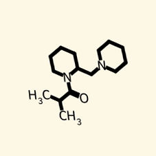 CC(C)C(=O)N1CCCCC1CN1CCCCC1